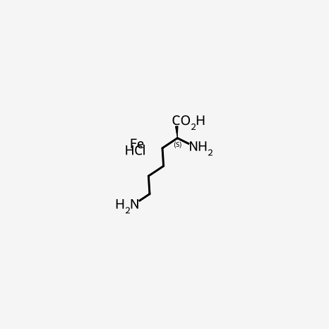 Cl.NCCCC[C@H](N)C(=O)O.[Fe]